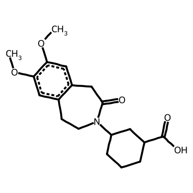 COc1cc2c(cc1OC)CC(=O)N(C1CCCC(C(=O)O)C1)CC2